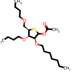 CCCCCCCO[C@@H]1C(OC(C)=O)S[C@H](COCCCC)[C@H]1OCCCC